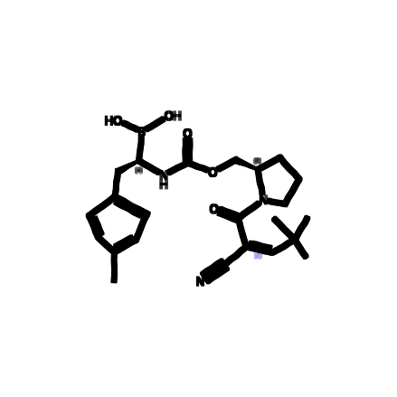 Cc1ccc(C[C@H](NC(=O)OC[C@H]2CCCN2C(=O)/C(C#N)=C\C(C)(C)C)B(O)O)cc1